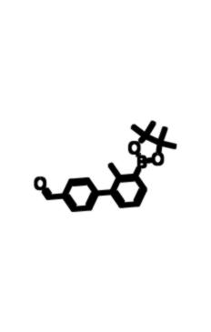 Cc1c(B2OC(C)(C)C(C)(C)O2)cccc1-c1ccc(C=O)cc1